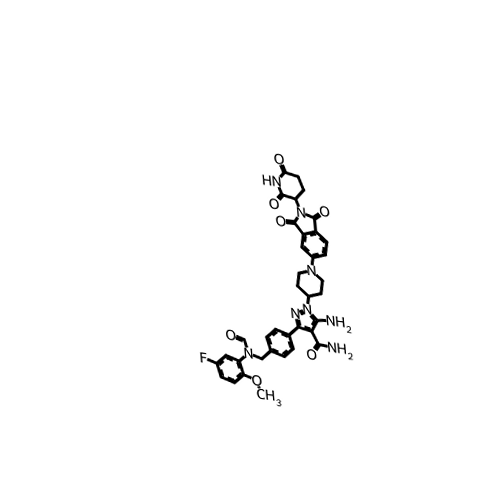 COc1ccc(F)cc1N(C=O)Cc1ccc(-c2nn(C3CCN(c4ccc5c(c4)C(=O)N(C4CCC(=O)NC4=O)C5=O)CC3)c(N)c2C(N)=O)cc1